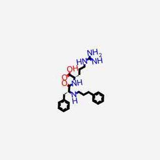 N=C(N)NCCC[C@H](NC(=O)[C@@H](Cc1ccccc1)NCCCc1ccccc1)C(=O)O